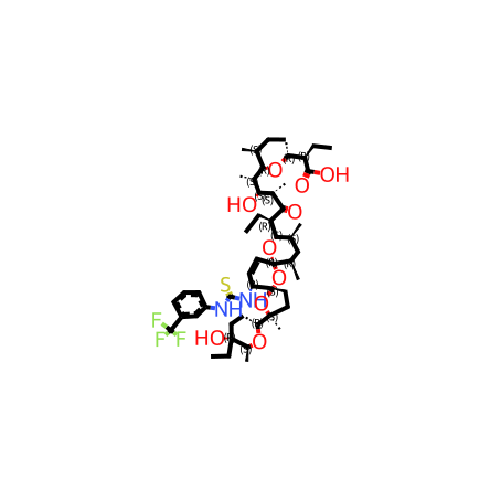 CC[C@@H](C(=O)[C@@H](C)[C@@H](O)[C@H](C)[C@@H]1O[C@@H]([C@@H](CC)C(=O)O)CC[C@@H]1C)[C@H]1O[C@]2(C=C[C@@H](NC(=S)Nc3cccc(C(F)(F)F)c3)[C@]3(CC[C@@](C)([C@H]4CC[C@](O)(CC)[C@H](C)O4)O3)O2)[C@H](C)C[C@@H]1C